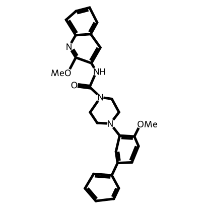 COc1ccc(-c2ccccc2)cc1N1CCN(C(=O)Nc2cc3ccccc3nc2OC)CC1